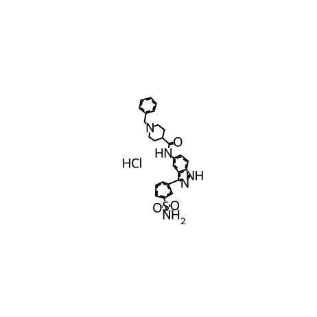 Cl.NS(=O)(=O)c1cccc(-c2n[nH]c3ccc(NC(=O)C4CCN(Cc5ccccc5)CC4)cc23)c1